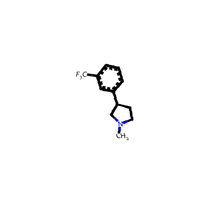 CN1CCC(c2cccc(C(F)(F)F)c2)C1